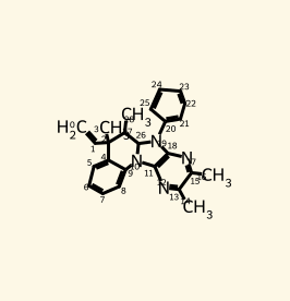 C=CC1(C)c2ccccc2N2c3nc(C)c(C)nc3N(c3ccccc3)C2C1C